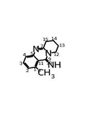 Cc1cccc2nc3n(c(=N)c12)CCCC3